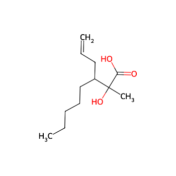 C=CCC(CCCCC)C(C)(O)C(=O)O